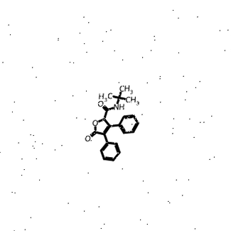 CC(C)(C)NC(=O)C1OC(=O)C(c2ccccc2)=C1c1ccccc1